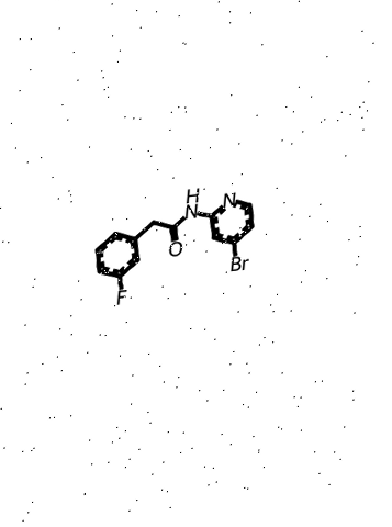 O=C(Cc1cccc(F)c1)Nc1cc(Br)ccn1